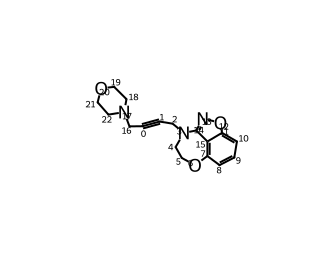 C(#CCN1CCOc2cccc3onc1c23)CN1CCOCC1